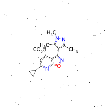 Cc1nn(C)c(C)c1-c1noc2nc(C3CC3)cc(C(=O)O)c12